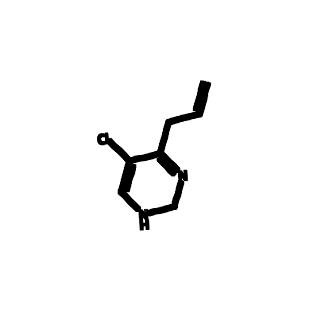 C=CCC1=NCNC=C1Cl